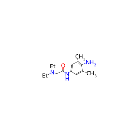 CCN(CC)CC(=O)Nc1cc(C)c(N)c(C)c1